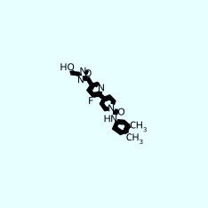 Cc1ccc(NC(=O)N2CC=C(c3ncc(-c4nc(CO)no4)cc3F)CC2)cc1C